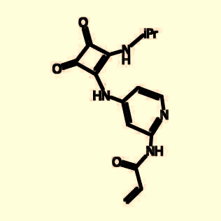 C=CC(=O)Nc1cc(Nc2c(NC(C)C)c(=O)c2=O)ccn1